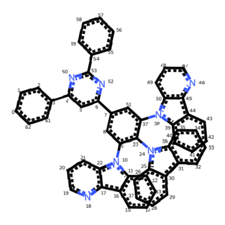 c1ccc(-c2cc(-c3cc(-n4c5ccccc5c5ncccc54)c(-n4c5ccccc5c5ccccc54)c(-n4c5ccccc5c5ncccc54)c3)nc(-c3ccccc3)n2)cc1